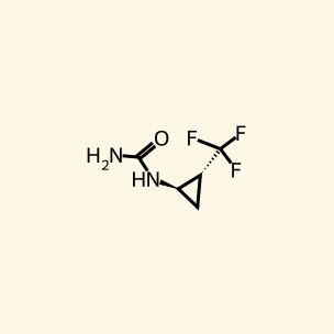 NC(=O)N[C@@H]1C[C@H]1C(F)(F)F